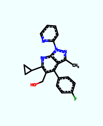 Cc1nn(-c2ccccn2)c2nc(C3CC3)c(CO)c(-c3ccc(F)cc3)c12